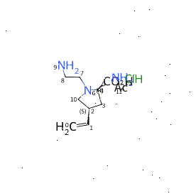 C=C[C@@H]1C[C@H](C(=O)O)N(CCN)C1.CC(N)=O.Cl